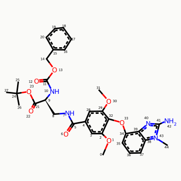 COc1cc(C(=O)NC[C@H](NC(=O)OCc2ccccc2)C(=O)OC(C)(C)C)cc(OC)c1Oc1cccc2c1nc(N)n2C